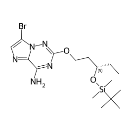 CC[C@@H](CCOc1nc(N)c2ncc(Br)n2n1)O[Si](C)(C)C(C)(C)C